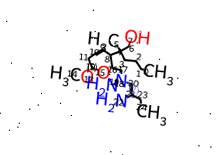 CCCCC(C)(CO)C1C=CC[C@@H](OC)OC1CN(N)/C=C(\N)CC